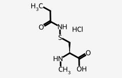 CCC(=O)NSC[C@H](NC)C(=O)O.Cl